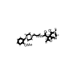 COc1ccccc1N1CCN(CCCNC(=O)c2c(C)oc3ncn(C)c(=O)c23)CC1